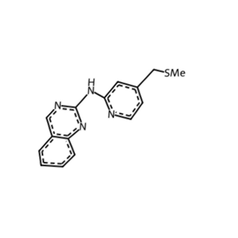 CSCc1ccnc(Nc2ncc3ccccc3n2)c1